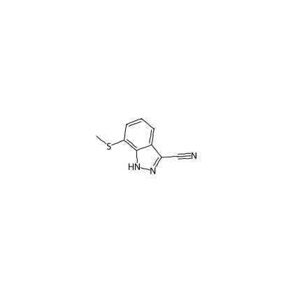 CSc1cccc2c(C#N)n[nH]c12